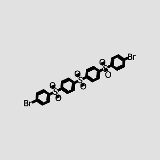 O=S(=O)(c1ccc(Br)cc1)c1ccc(S(=O)(=O)c2ccc(S(=O)(=O)c3ccc(Br)cc3)cc2)cc1